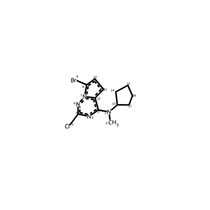 CN(c1nc(Cl)nn2c(Br)ccc12)C1CCCC1